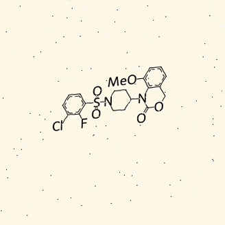 COc1cccc2c1N(C1CCN(S(=O)(=O)c3cccc(Cl)c3F)CC1)C(=O)OC2